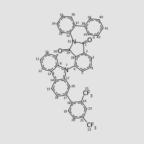 O=C1c2cccc(-n3c4ccccc4c4ccc(-c5ccc(C(F)(F)F)cc5C(F)(F)F)cc43)c2C(=O)N1c1ccccc1-c1ccccc1